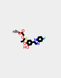 CCCCOC(=O)COC(=S)C(C)Oc1ccc(-c2cnc3cc(F)ccc3n2)cc1O